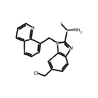 NI(I)c1nc2ccc(CCl)cc2n1Cc1cccc2cccnc12